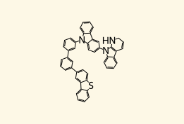 C1=Cc2c(n(-c3ccc4c(c3)c3ccccc3n4-c3cccc(-c4cccc(-c5ccc6sc7ccccc7c6c5)c4)c3)c3ccccc23)NC1